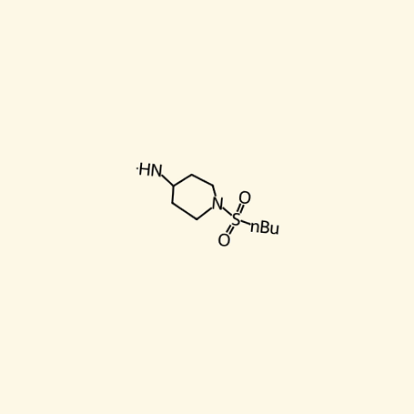 CCCCS(=O)(=O)N1CCC([NH])CC1